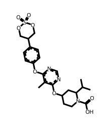 Cc1c(Oc2ccc(C3COS(=O)(=O)OC3)cc2)ncnc1OC1CCN(C(=O)O)C(C(C)C)C1